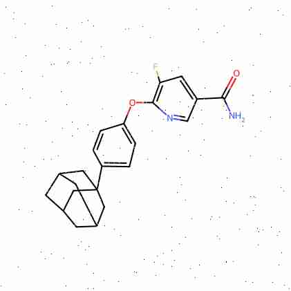 NC(=O)c1cnc(Oc2ccc(C34CC5CC(CC(C5)C3)C4)cc2)c(F)c1